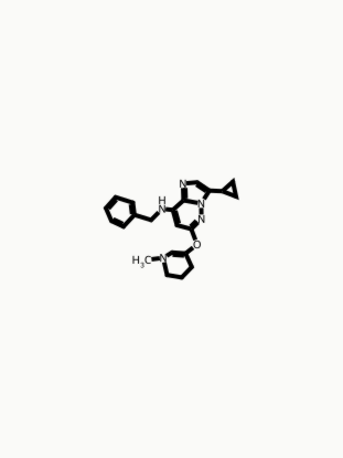 CN1C=C(Oc2cc(NCc3ccccc3)c3ncc(C4CC4)n3n2)CCC1